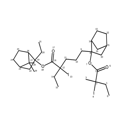 CCC(C)(I)C(=O)OC1(CCCC(I)(CC)C(=O)OC2(CC)CC3CCC2C3(C)C)CC2CCC1C2